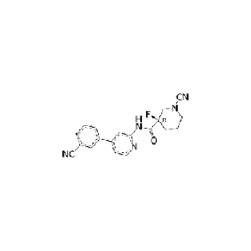 N#Cc1cccc(-c2ccnc(NC(=O)[C@@]3(F)CCCN(C#N)C3)c2)c1